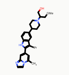 COCC(CO)N1CCC(c2ccc3[nH]c(-c4cc(C)n5ccnc5c4)c(C(C)C)c3c2)CC1